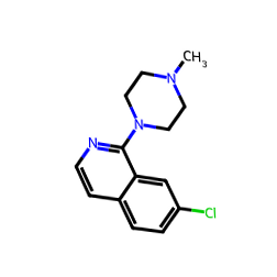 CN1CCN(c2nccc3ccc(Cl)cc23)CC1